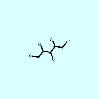 ClCC(Cl)C(Cl)C(Cl)CCl